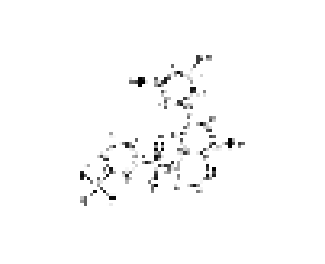 O=S(=O)(c1cccc(C(F)(F)F)c1)N1CCOc2c(F)cc(-c3cc(F)cc(F)c3)cc21